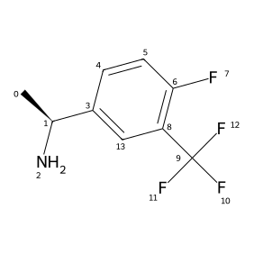 C[C@H](N)c1ccc(F)c(C(F)(F)F)c1